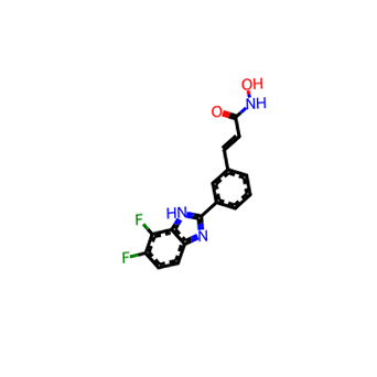 O=C(C=Cc1cccc(-c2nc3ccc(F)c(F)c3[nH]2)c1)NO